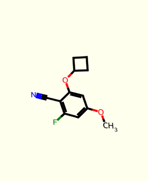 COc1cc(F)c(C#N)c(OC2CCC2)c1